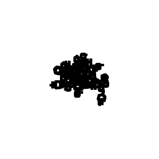 COc1ccc([C](C(Cc2c(Cl)c[n+]([O-])cc2Cl)c2ccc(OC)c(OC)c2)C(c2c(Cl)c[n+]([O-])cc2Cl)([C@@H](c2ccc(OC)c(OC)c2)C(c2c(Cl)c[n+]([O-])cc2Cl)[SH]2C(CNCC(O)(C(=O)OCC3CCN(C)CC3)c3cccs3)=CC=C2C(=O)O)[SH]2C(CNC(C(=O)OCC3(C)CCN(C)CC3)c3ccccc3)=CC=C2C(=O)O)cc1OC